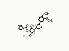 COc1cc(C2OCC([C@H]3O[C@H](OC)[C@H](OC(=O)n4ccnc4)[C@H]3C)O2)ccc1CO